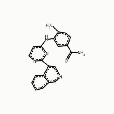 Cc1ccc(C(N)=O)cc1Nc1ccnc(-c2cncc3ccccc23)n1